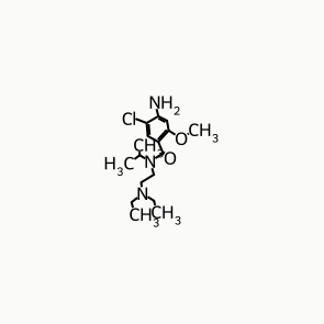 CCN(CC)CCN(C(=O)c1cc(Cl)c(N)cc1OC)C(C)C